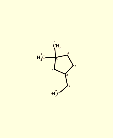 [CH2]CC1CCC(C)(C)C1